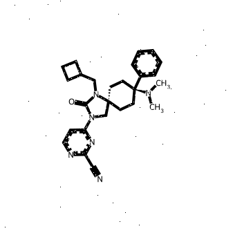 CN(C)[C@]1(c2ccccc2)CC[C@]2(CC1)CN(c1ccnc(C#N)n1)C(=O)N2CC1CCC1